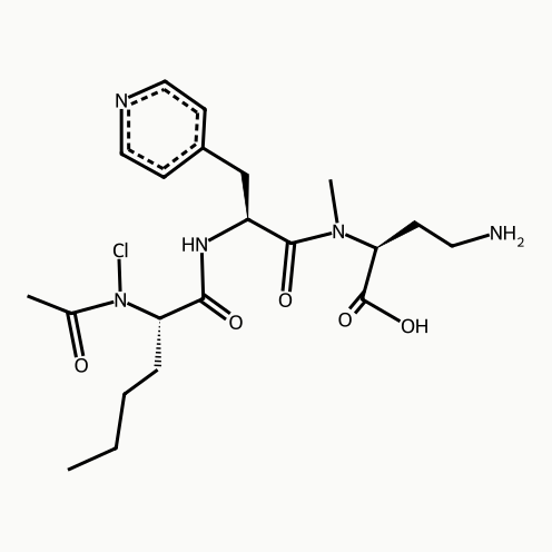 CCCC[C@@H](C(=O)N[C@@H](Cc1ccncc1)C(=O)N(C)[C@@H](CCN)C(=O)O)N(Cl)C(C)=O